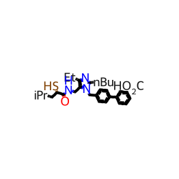 CCCCc1nc(CC)c(CNC(=O)C(S)CC(C)C)n1Cc1ccc(-c2ccccc2C(=O)O)cc1